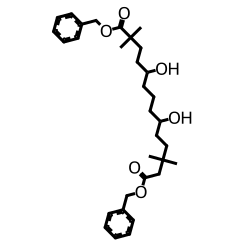 CC(C)(CCC(O)CCCC(O)CCC(C)(C)C(=O)OCc1ccccc1)CC(=O)OCc1ccccc1